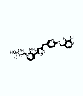 NC1C(c2cc(Cc3ccc(OCc4ccnc(Cl)c4F)nc3)no2)=CC=CN1COP(=O)(O)O